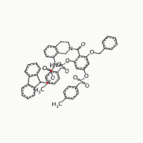 Cc1ccc(S(=O)(=O)Oc2cc(OCc3ccccc3)c(C(=O)N3CCc4cccc(NC(=O)OCC5c6ccccc6-c6ccccc65)c4C3)c(OS(=O)(=O)c3ccc(C)cc3)c2)cc1